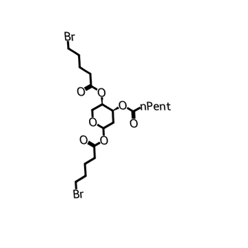 CCCCCC(=O)O[C@H]1CC(OC(=O)CCCCBr)OC[C@H]1OC(=O)CCCCBr